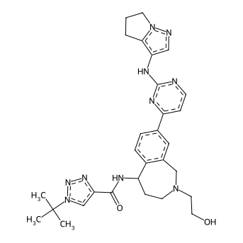 CC(C)(C)n1cc(C(=O)NC2CCN(CCO)Cc3cc(-c4ccnc(Nc5cnn6c5CCC6)n4)ccc32)nn1